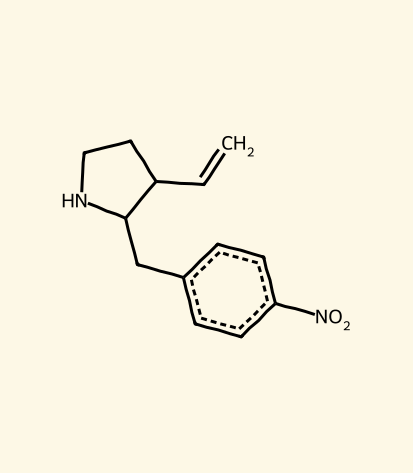 C=CC1CCNC1Cc1ccc([N+](=O)[O-])cc1